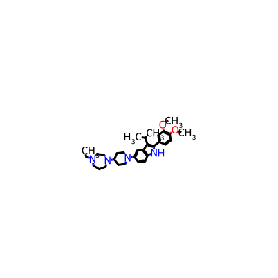 CCN1CCCN(C2CCN(c3ccc4[nH]c(-c5ccc(OC)c(OC)c5)c(C(C)C)c4c3)CC2)CC1